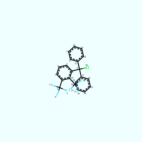 FC(F)(F)c1cccc(C(Cl)(c2ccccc2)c2ccccc2)c1C(F)(F)F